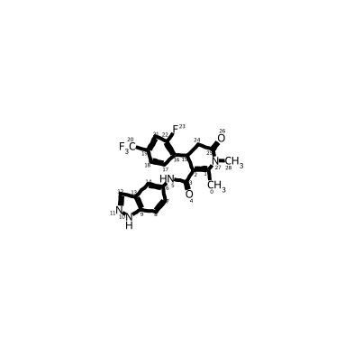 CC1=C(C(=O)Nc2ccc3[nH]ncc3c2)C(c2ccc(C(F)(F)F)cc2F)CC(=O)N1C